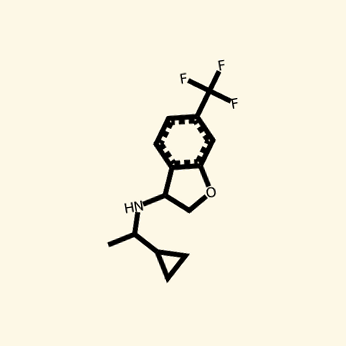 CC(NC1COc2cc(C(F)(F)F)ccc21)C1CC1